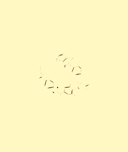 CCNC(=O)c1ccc(S(=O)(=O)Nc2cc(F)c(C(=O)N[C@@H](Cc3ccc(-n4c(=O)c5[nH]cnc5n4C)cc3)C(=O)O)c(F)c2)cc1